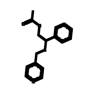 CC(=O)OCC(SCc1ccncc1)c1ccccc1